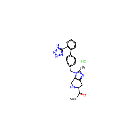 CCCc1nc2c(n1Cc1ccc(-c3ccccc3-c3nnn[nH]3)cc1)CNC(C(=O)OC)C2.Cl